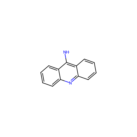 [NH]c1c2ccccc2nc2ccccc12